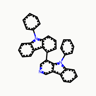 c1ccc(-n2c3ccccc3c3c(-c4cncc5c6ccccc6n(-c6ccccc6)c45)cccc32)cc1